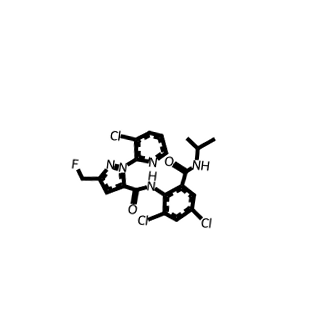 CC(C)NC(=O)c1cc(Cl)cc(Cl)c1NC(=O)c1cc(CF)nn1-c1ncccc1Cl